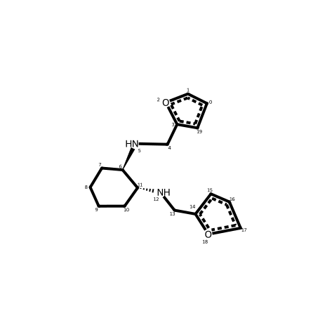 c1coc(CN[C@@H]2CCCC[C@H]2NCc2ccco2)c1